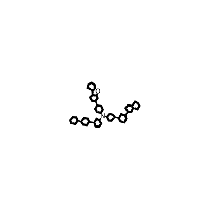 c1ccc(-c2ccc(-c3cccc(N(c4ccc(-c5cccc(-c6ccc7ccccc7c6)c5)cc4)c4ccc(-c5ccc6c(c5)oc5ccccc56)cc4)c3)cc2)cc1